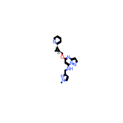 Cn1ccc(CNc2cc(OC[C@H]3C[C@@H]3c3ccccn3)nc3ccnn23)n1